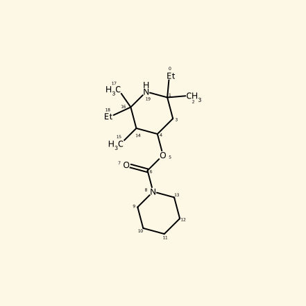 CCC1(C)CC(OC(=O)N2CCCCC2)C(C)C(C)(CC)N1